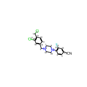 N#Cc1ccc(N2CCN(Cc3ccc(CCl)c(Cl)c3)CC2)c(F)c1